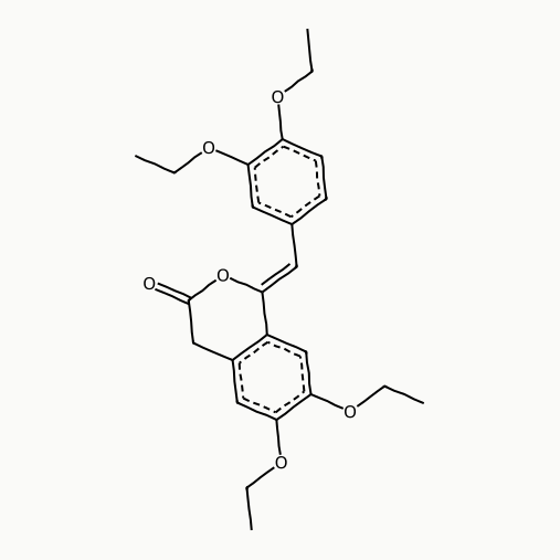 CCOc1ccc(C=C2OC(=O)Cc3cc(OCC)c(OCC)cc32)cc1OCC